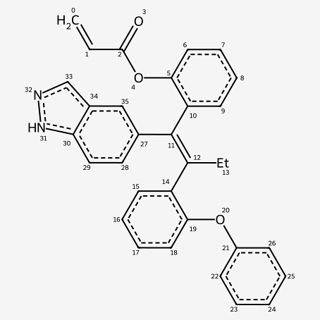 C=CC(=O)Oc1ccccc1/C(=C(\CC)c1ccccc1Oc1ccccc1)c1ccc2[nH]ncc2c1